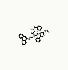 C[C@H](NCC(=O)N(CCOc1cc2cccnc2c2ncccc12)CC(=O)N(CC(N)=O)[C@@H](C)c1ccccc1)c1ccccc1